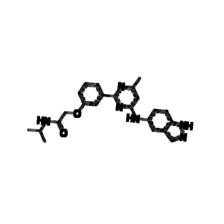 Cc1cc(Nc2ccc3[nH]ncc3c2)nc(-c2cccc(OCC(=O)NC(C)C)c2)n1